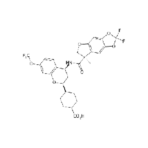 C[C@]1(C(=O)N[C@H]2C[C@@H](C3CCC(C(=O)O)CC3)Oc3cc(OC(F)(F)F)ccc32)COc2cc3c(cc21)OC(F)(F)O3